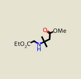 CCOC(=O)CNC(C)(C)CC(=O)OC